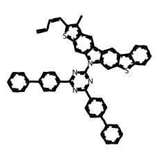 C=C/C=C\c1sc2cc3c(cc2c1C)c1cc2c(cc1n3-c1nc(-c3ccc(-c4ccccc4)cc3)nc(-c3ccc(-c4ccccc4)cc3)n1)sc1ccccc12